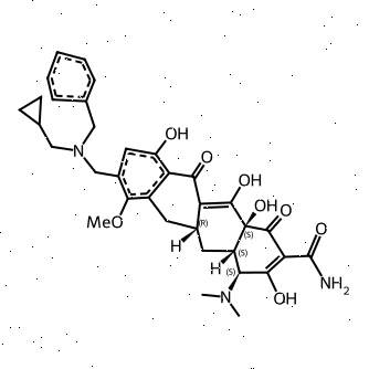 COc1c(CN(Cc2ccccc2)CC2CC2)cc(O)c2c1C[C@H]1C[C@H]3[C@H](N(C)C)C(O)=C(C(N)=O)C(=O)[C@@]3(O)C(O)=C1C2=O